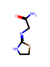 NC(=O)CN=C1NCCS1